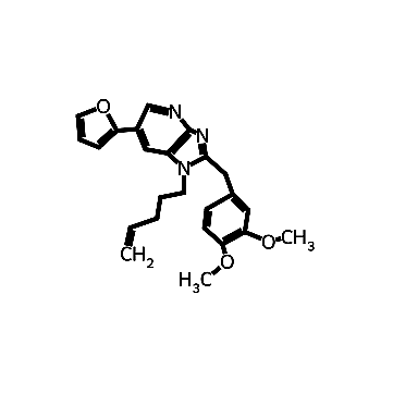 C=CCCCn1c(Cc2ccc(OC)c(OC)c2)nc2ncc(-c3ccco3)cc21